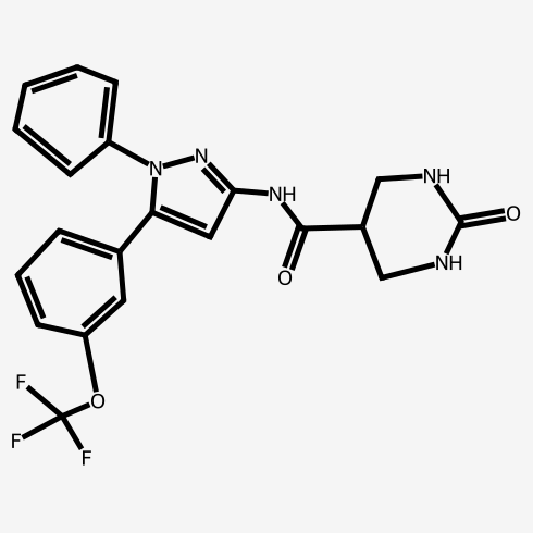 O=C1NCC(C(=O)Nc2cc(-c3cccc(OC(F)(F)F)c3)n(-c3ccccc3)n2)CN1